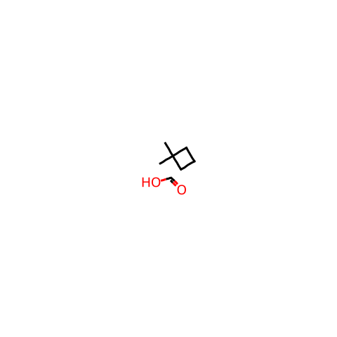 CC1(C)CCC1.O=CO